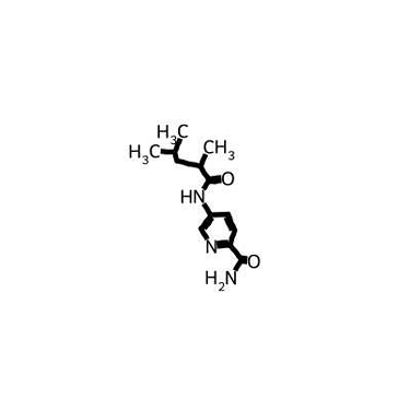 CC(C)CC(C)C(=O)Nc1ccc(C(N)=O)nc1